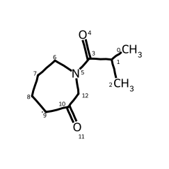 CC(C)C(=O)N1CCC[CH]C(=O)C1